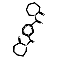 O=C1CCCCCN1C(=O)c1cccc(C(=O)N2CCCCCC2=O)c1